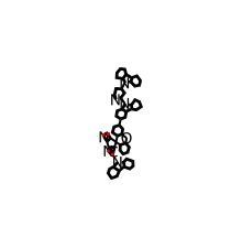 c1ccc2c(c1)Oc1cc(-c3ccc4c(c3)c3ccccc3n4-c3cc(-n4c5ccccc5c5ccccc54)ccn3)ccc1C21c2cccnc2-c2ncc(-n3c4ccccc4c4ccccc43)cc21